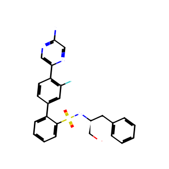 Nc1cnc(-c2ccc(-c3ccccc3S(=O)(=O)N[C@H](CO)Cc3ccccc3)cc2F)cn1